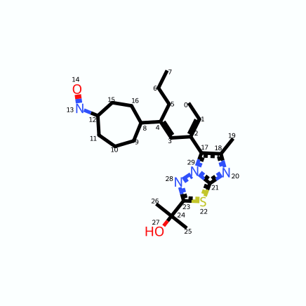 C/C=C(\C=C(/CCC)C1CCCC(N=O)CC1)c1c(C)nc2sc(C(C)(C)O)nn12